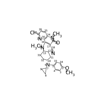 COc1ccc(N(C2CC2)[C@H]2CC[C@H](N(C)c3c(C#N)c(=O)n(C)c4ccc(Cl)nc34)CC2)cc1